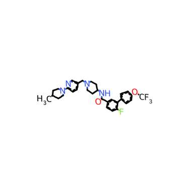 CC1CCN(c2ccc(CN3CCC(NC(=O)c4ccc(F)c(-c5ccc(OC(F)(F)F)cc5)c4)CC3)cn2)CC1